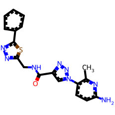 Cc1nc(N)ccc1-n1cc(C(=O)NCc2nnc(-c3ccccc3)s2)nn1